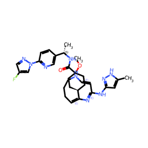 CO[C@]1(C(=O)N[C@@H](C)c2ccc(-n3cc(F)cn3)nc2)CC[C@H](C2=C\CCCN/C=C/C(Nc3cc(C)[nH]n3)=N\2)CC1